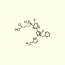 C=C1C=CC(c2cc(-c3ncc(F)c(N(C)CCCC(=O)O)n3)nn2Cc2ccccc2F)=N1